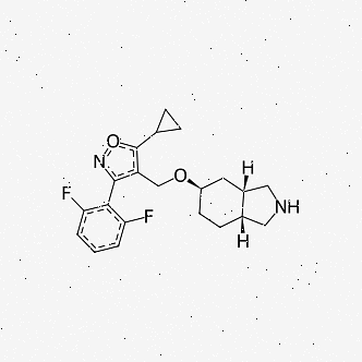 Fc1cccc(F)c1-c1noc(C2CC2)c1CO[C@@H]1CC[C@H]2CNC[C@H]2C1